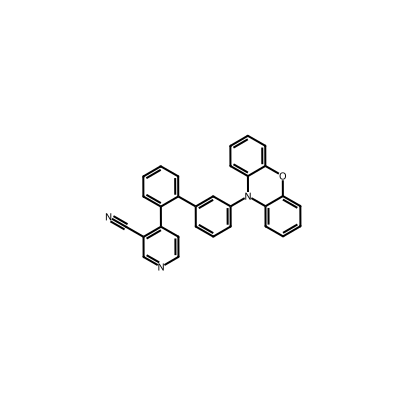 N#Cc1cnccc1-c1ccccc1-c1cccc(N2c3ccccc3Oc3ccccc32)c1